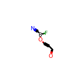 N#CB(F)OC#CC=O